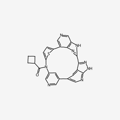 O=C(C1CCC1)n1c2cncc(c2)c2cnc3[nH]nc(c4nc5c(cncc5c5ccc1s5)[nH]4)c3c2